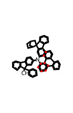 CC1(c2ccccc2)c2ccccc2-c2ccc(N(c3ccc4c(c3)C3(CC5CCC3C5)c3ccccc3-4)c3ccccc3-c3ccccc3-c3ccccc3-c3ccccc3)cc21